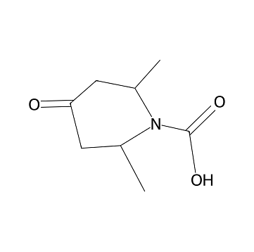 CC1CC(=O)CC(C)N1C(=O)O